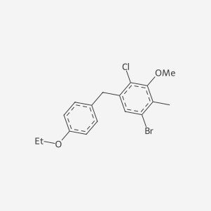 CCOc1ccc(Cc2cc(Br)c(C)c(OC)c2Cl)cc1